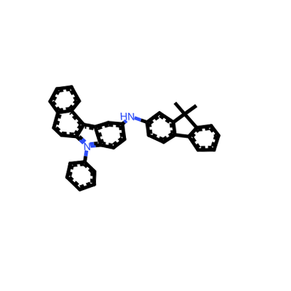 CC1(C)c2ccccc2-c2ccc(Nc3ccc4c(c3)c3c5ccccc5ccc3n4-c3ccccc3)cc21